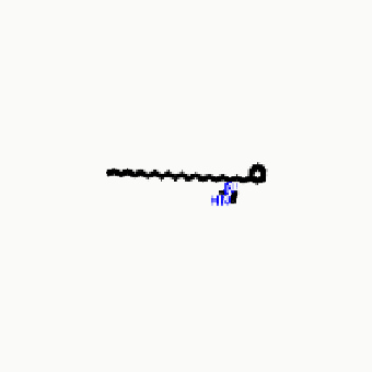 CCCCCCCCCCCCCCCCCCC(CCc1ccccc1)[n+]1cc[nH]c1